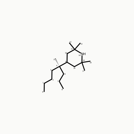 CCCC[C@](C)(CCC)C1CC(C)(C)NC(C)(C)C1